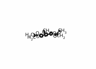 C=C(CC)C(=O)Oc1ccc(-c2ccc(-c3ccc(OC(=O)C(=C)COC)cc3)cc2OC)cc1